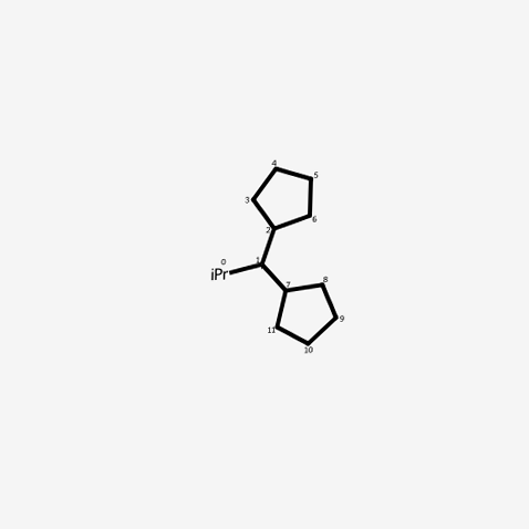 CC(C)[C](C1CCCC1)C1CCCC1